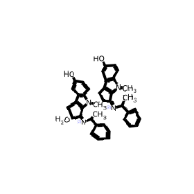 CC(/N=C1/CCc2c1n(C)c1ccc(O)cc21)c1ccccc1.CC(/N=C1/CCc2c1n(C)c1ccc(O)cc21)c1ccccc1.O